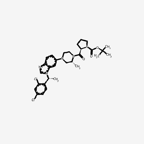 C[C@@H]1CN(c2ccc3ncn([C@H](C)c4ccc(Cl)cc4Cl)c3c2)CCN1C(=O)[C@H]1CCCN1C(=O)OC(C)(C)C